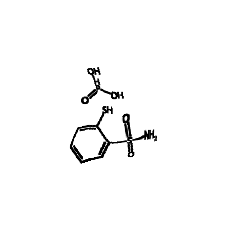 NS(=O)(=O)c1ccccc1S.O=[PH](O)O